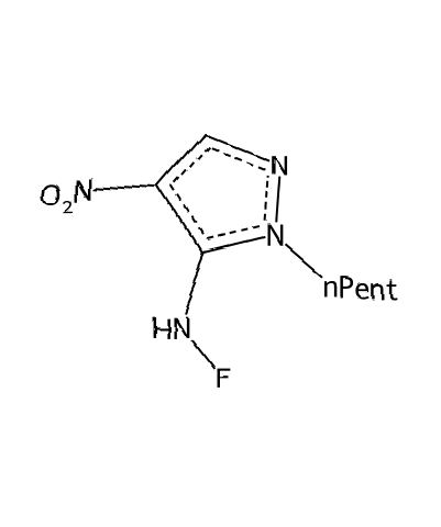 CCCCCn1ncc([N+](=O)[O-])c1NF